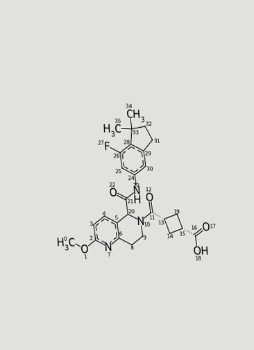 COc1ccc2c(n1)CCN(C(=O)[C@H]1C[C@@H](C(=O)O)C1)C2C(=O)Nc1cc(F)c2c(c1)CCC2(C)C